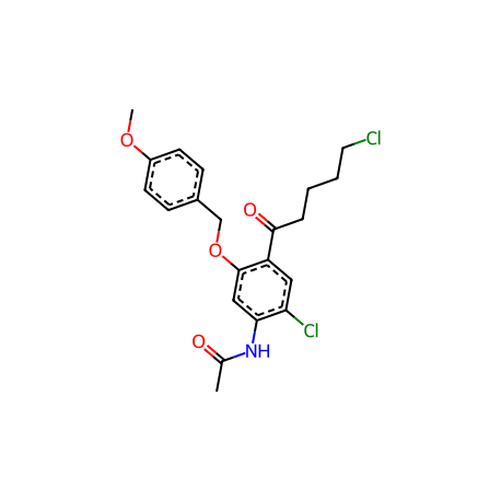 COc1ccc(COc2cc(NC(C)=O)c(Cl)cc2C(=O)CCCCCl)cc1